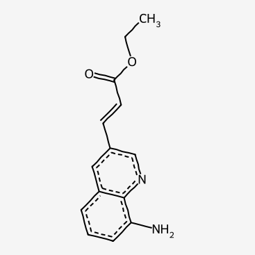 CCOC(=O)/C=C/c1cnc2c(N)cccc2c1